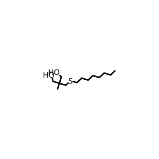 CCCCCCCCSCC(C)(CO)CO